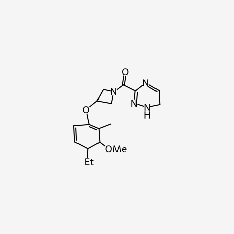 CCC1C=CC(OC2CN(C(=O)C3=NNCC=N3)C2)=C(C)C1OC